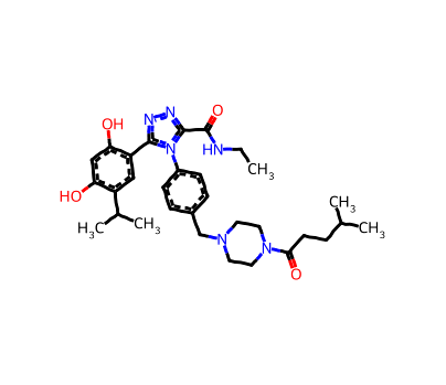 CCNC(=O)c1nnc(-c2cc(C(C)C)c(O)cc2O)n1-c1ccc(CN2CCN(C(=O)CCC(C)C)CC2)cc1